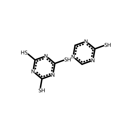 Sc1nc(S)nc(S)n1.Sc1ncncn1